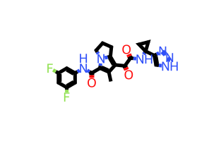 Cc1c(C(=O)C(=O)NC2(c3c[nH]nn3)CC2)c2n(c1C(=O)Nc1cc(F)cc(F)c1)CCC2